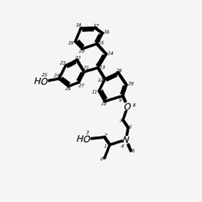 CC(CO)N(C)CCOc1ccc(/C(=C/c2ccccc2)c2ccc(O)cc2)cc1